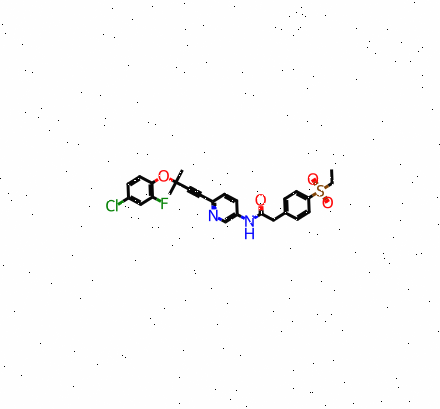 CCS(=O)(=O)c1ccc(CC(=O)Nc2ccc(C#CC(C)(C)Oc3ccc(Cl)cc3F)nc2)cc1